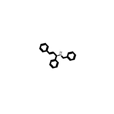 C(=C\[C@@H](NCc1ccccc1)c1ccccc1)/c1ccccc1